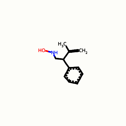 C=C(C)C(CNO)c1ccccc1